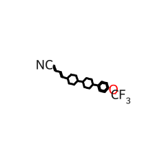 N#CC=CC=CC1CCC(C2CCC(c3ccc(OC(F)(F)F)cc3)CC2)CC1